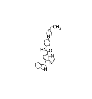 CCN1CCN(c2ccc(NC(=O)c3ccc(-c4cncc5ccccc45)c4nccnc34)cc2)CC1